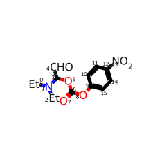 CCN(CC)C(C=O)OC(=O)Oc1ccc([N+](=O)[O-])cc1